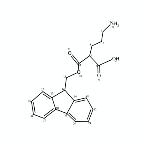 NCCCC(C(=O)O)C(=O)OCC1c2ccccc2-c2ccccc21